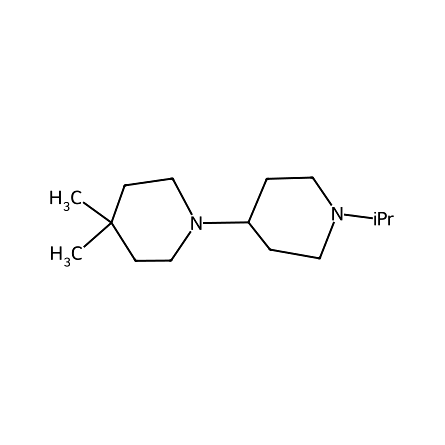 CC(C)N1CCC(N2CCC(C)(C)CC2)CC1